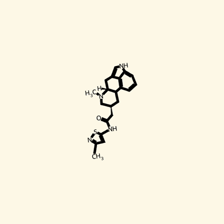 Cc1cc(NC(=O)C[C@@H]2CC3c4cccc5[nH]cc(c45)C[C@H]3N(C)C2)sn1